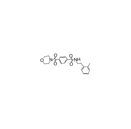 Cc1ccccc1CCNS(=O)(=O)c1ccc(S(=O)(=O)N2CCOCC2)cc1